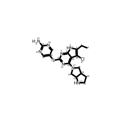 CCc1[nH]c2nc(Sc3cnc(N)nc3)nc(N3CC4CCNC4C3)c2c1Cl